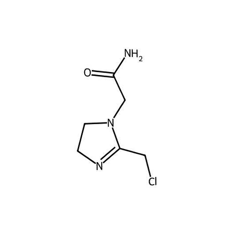 NC(=O)CN1CCN=C1CCl